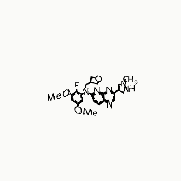 COc1cc(OC)c(F)c(N(CC2COC2)c2ccc3ncc(C4=CN(C)NC4)nc3n2)c1